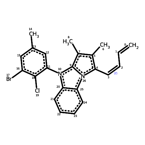 C=C/C=C\c1c(C)c(C)c2n(-c3cc(C)cc(Br)c3Cl)c3ccccc3n12